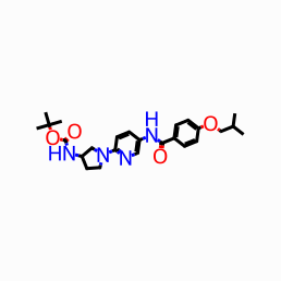 CC(C)COc1ccc(C(=O)Nc2ccc(N3CCC(NC(=O)OC(C)(C)C)C3)nc2)cc1